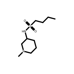 CCCCS(=O)(=O)NC1CCCN(C)C1